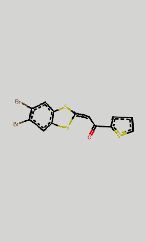 O=C(C=C1Sc2cc(Br)c(Br)cc2S1)c1cccs1